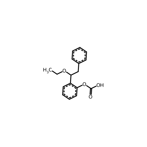 CCOC(Cc1ccccc1)c1ccccc1OC(=O)O